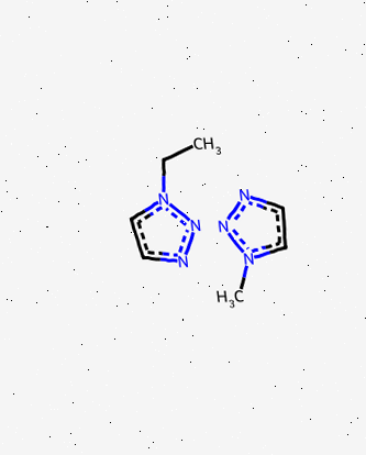 CCn1ccnn1.Cn1ccnn1